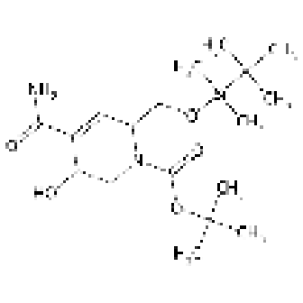 CC(C)(C)OC(=O)N1CC(O)C(C(N)=O)=CC1CO[Si](C)(C)C(C)(C)C